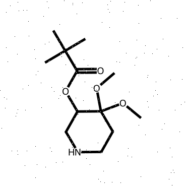 COC1(OC)CCNCC1OC(=O)C(C)(C)C